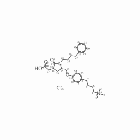 C[N+](C)(C)CCCCc1ccc(OC[C@@H]2C[C@@H](CC(=O)O)C(=O)N2CCCCc2ccccc2)cc1.[Cl-]